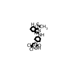 CN(C)c1nc(NC2CCC(N(CC(Cl)(Cl)Cl)C(=O)O)CC2)nc2c1CCCC2